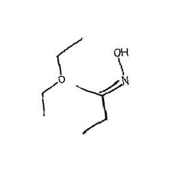 CC/C(C)=N/O.CCOCC